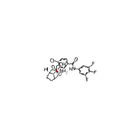 N[C@]1(CO)CC2CC[C@@H](C1)C2S(=O)(=O)c1cc(C(=O)Nc2cc(F)c(F)c(F)c2)ccc1Cl